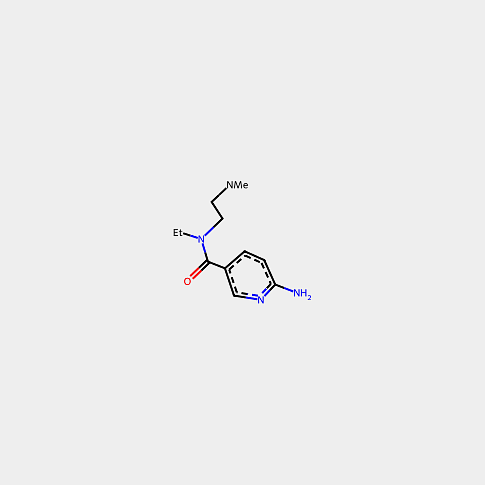 CCN(CCNC)C(=O)c1ccc(N)nc1